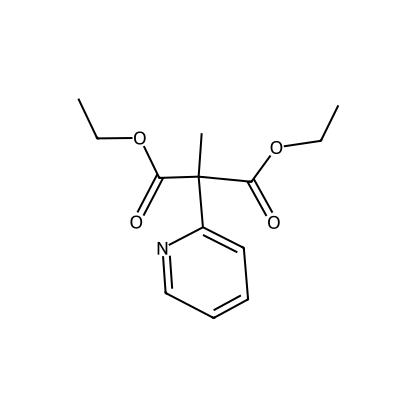 CCOC(=O)C(C)(C(=O)OCC)c1ccccn1